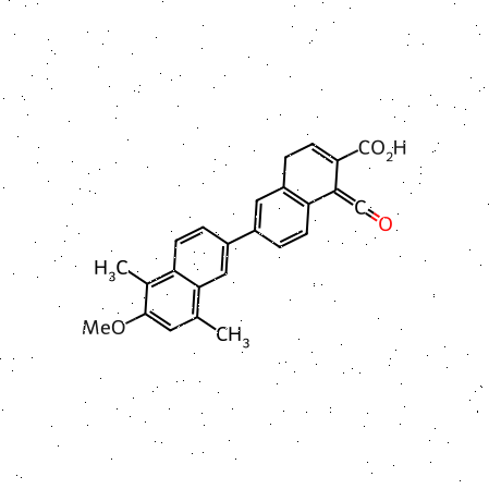 COc1cc(C)c2cc(-c3ccc4c(c3)CC=C(C(=O)O)C4=C=O)ccc2c1C